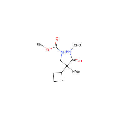 CNC(CNC(=O)OC(C)(C)C)(C(=O)NC=O)C1CCC1